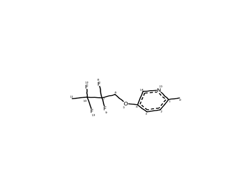 Cc1ccc(OCC(F)(F)C(C)(F)F)cn1